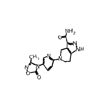 Cc1noc(=O)n1-c1ccc(N2CCc3[nH]nc(C(N)=O)c3C2)nc1